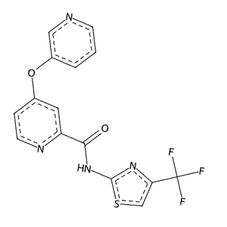 O=C(Nc1nc(C(F)(F)F)cs1)c1cc(Oc2cccnc2)ccn1